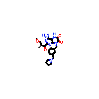 COC[C@H](C)C(=O)c1nc(N)c2[nH]c(=O)c(=O)n(Cc3cccc(CN4CCCC4)c3)c2n1